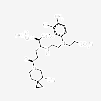 COC(=O)[C@H](CCC(=O)N1CCC2(CC2)[C@H](O)C1)NCCN(CCC(=O)O)c1ccc(C(F)(F)F)c(Cl)c1.Cl.Cl